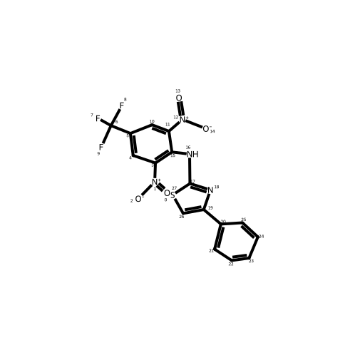 O=[N+]([O-])c1cc(C(F)(F)F)cc([N+](=O)[O-])c1Nc1nc(-c2ccccc2)cs1